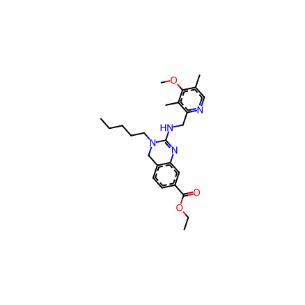 CCCCCN1Cc2ccc(C(=O)OCC)cc2N=C1NCc1ncc(C)c(OC)c1C